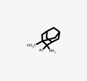 CC(=O)C1(N)C2CC3CC(C2)CC1(C(=O)O)C3